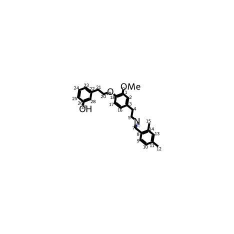 COc1cc(CC/N=C/c2ccc(C)cc2C)ccc1OCCc1cccc(O)c1